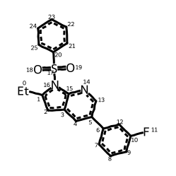 CCc1cc2cc(-c3cccc(F)c3)cnc2n1S(=O)(=O)c1ccccc1